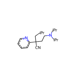 CC(C)CC(C#N)(CCN(C(C)C)C(C)C)c1ccccn1